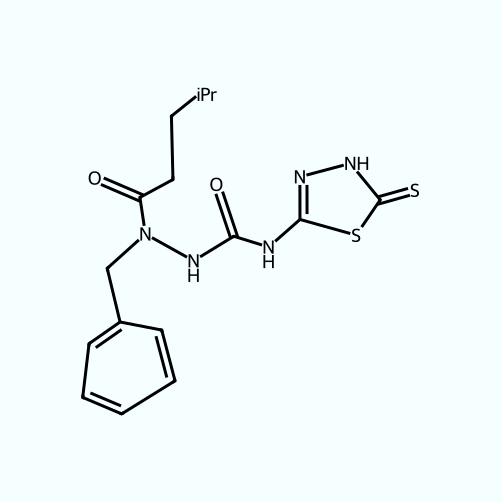 CC(C)CCC(=O)N(Cc1ccccc1)NC(=O)Nc1n[nH]c(=S)s1